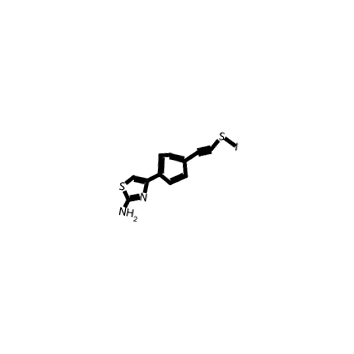 Nc1nc(-c2ccc(C#CSI)cc2)cs1